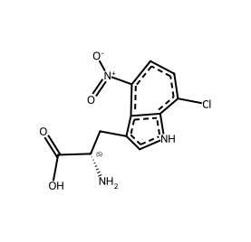 N[C@@H](Cc1c[nH]c2c(Cl)ccc([N+](=O)[O-])c12)C(=O)O